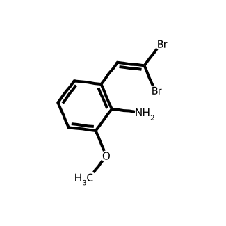 COc1cccc(C=C(Br)Br)c1N